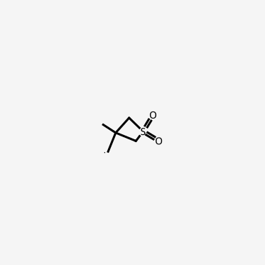 [CH2]C1(C)CS(=O)(=O)C1